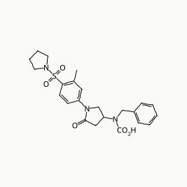 Cc1cc(N2CC(N(Cc3ccccc3)C(=O)O)CC2=O)ccc1S(=O)(=O)N1CCCC1